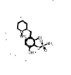 CCCN1CCCC[C@H]1Cc1ccc(O)c(OS(N)(=O)=O)c1CC